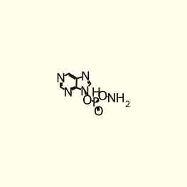 NO[PH](=O)On1cnc2cncnc21